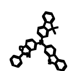 CC1(C)c2ccccc2-c2ccc(N(c3ccc4oc(-c5ccccc5)nc4c3)c3ccc4c(c3)sc3ccccc34)cc21